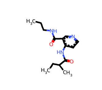 CCCNC(=O)c1cnccc1NC(=O)C(C)CC